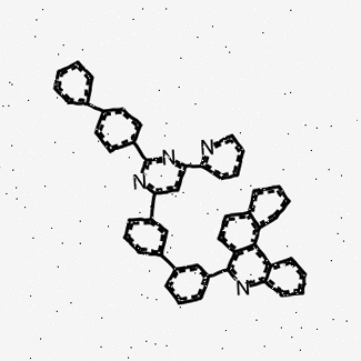 c1ccc(-c2ccc(-c3nc(-c4cccc(-c5cccc(-c6nc7ccccc7c7c6ccc6ccccc67)c5)c4)cc(-c4ccccn4)n3)cc2)cc1